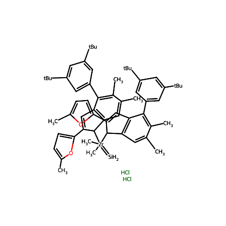 Cc1ccc(C2=Cc3c(cc(C)c(C)c3-c3cc(C(C)(C)C)cc(C(C)(C)C)c3)[CH]2[Zr]([CH3])([CH3])(=[SiH2])[CH]2C(c3ccc(C)o3)=Cc3c2cc(C)c(C)c3-c2cc(C(C)(C)C)cc(C(C)(C)C)c2)o1.Cl.Cl